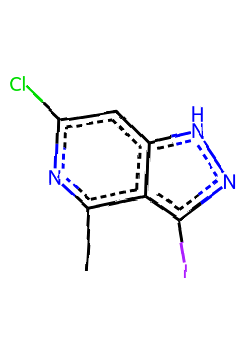 Cc1nc(Cl)cc2[nH]nc(I)c12